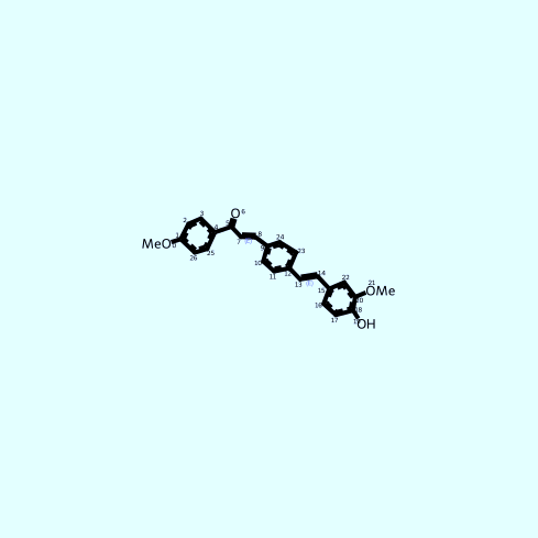 COc1ccc(C(=O)/C=C/c2ccc(/C=C/c3ccc(O)c(OC)c3)cc2)cc1